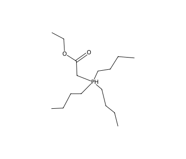 CCCC[PH](CCCC)(CCCC)CC(=O)OCC